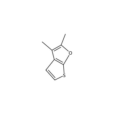 Cc1oc2sccc2c1C